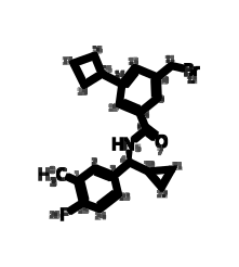 Cc1cc([C@@H](NC(=O)c2cc(CBr)cc(C3CCC3)c2)C2CC2)ccc1F